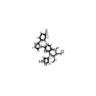 CC[C@@H]1C(C=O)N(C)c2cnc(-n3ccnc3-c3ccc(F)cc3)nc2N1c1cn[nH]c1